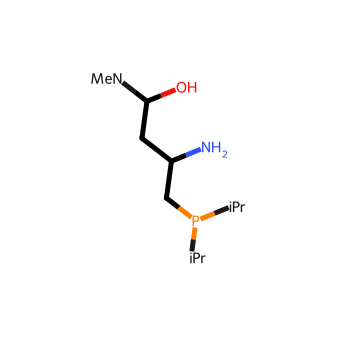 CNC(O)CC(N)CP(C(C)C)C(C)C